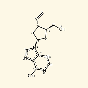 C=C[C@H]1C[C@H](n2cnc3c(Cl)ncnc32)C[C@@H]1CO